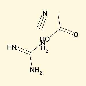 C#N.CC(=O)O.N=C(N)N